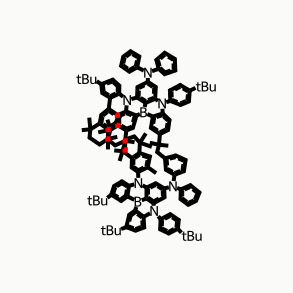 Cc1cc2c(cc1N1c3ccc(C(C)(C)C)cc3B3c4cc(C(C)(C)C)ccc4N(c4ccc(C(C)(C)C)cc4)c4cc(N(c5ccccc5)c5cccc(CC(C)(C)c6ccc7c(c6)B6c8cc9c(cc8N(c8ccc(C(C)(C)C)cc8-c8ccc%10c(c8)C(C)(C)CCC%10(C)C)c8cc(N(c%10ccccc%10)c%10ccccc%10)cc(c86)N7c6ccc(C(C)(C)C)cc6)C(C)(C)CCC9(C)C)c5)cc1c43)C(C)(C)CCC2(C)C